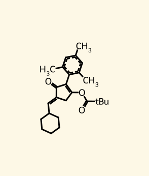 Cc1cc(C)c(C2=C(OC(=O)C(C)(C)C)C/C(=C\C3CCCCC3)C2=O)c(C)c1